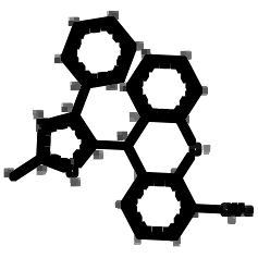 COc1cccc2c1Oc1ccccc1C2c1oc(C)nc1-c1ccccc1